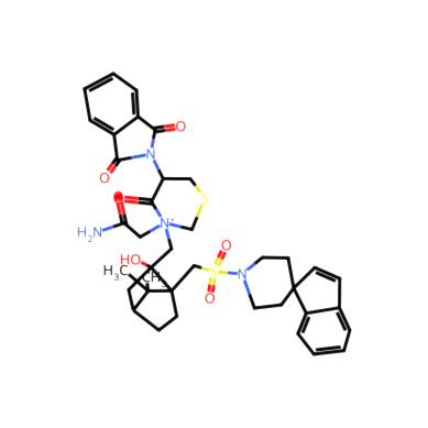 CC1(C)C2CCC1(CS(=O)(=O)N1CCC3(C=Cc4ccccc43)CC1)C(O)(C[N+]1(CC(N)=O)CSCC(N3C(=O)c4ccccc4C3=O)C1=O)C2